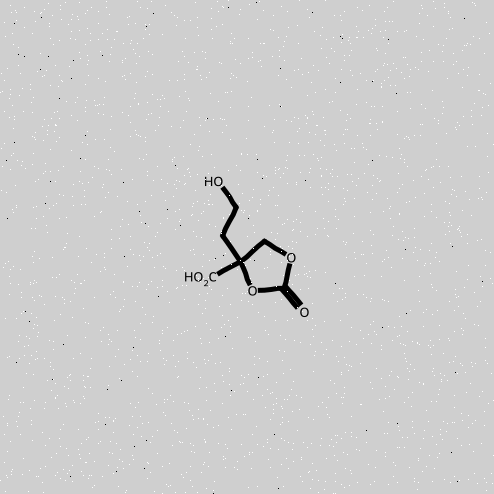 O=C1OCC(CCO)(C(=O)O)O1